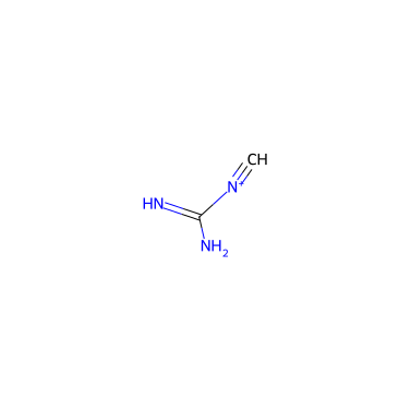 C#[N+]C(=N)N